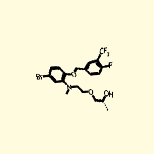 C[C@@H](O)COCCN(C)c1cc(Br)ccc1OCc1ccc(F)c(C(F)(F)F)c1